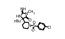 CCCC[C@]1(C2CCCN(S(=O)(=O)c3ccc(Cl)cc3)C2)NC(=N)N(C)C1=O